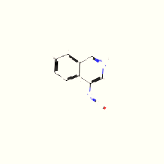 O=C=Nc1cncc2ccccc12